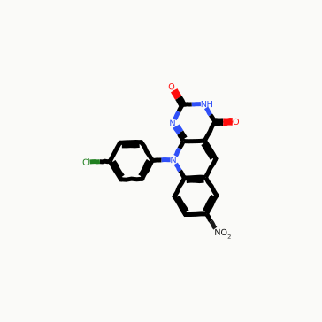 O=c1nc2n(-c3ccc(Cl)cc3)c3ccc([N+](=O)[O-])cc3cc-2c(=O)[nH]1